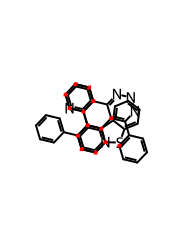 c1ccc(-c2cccnc2-c2c(-c3ccccc3)nnnc2-c2cccnc2-c2c(-c3ccccc3)ccc3sc4ccccc4c23)cc1